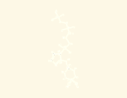 CC(C)(C)CCC(C)(C)OCCC(C)(C)n1nncc1CN1CCS(=O)(=O)CC1